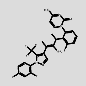 C/C(=C(/N)C(C)c1c(F)cccc1-n1ccc(N)nc1=O)c1cnn(-c2ccc(F)cc2F)c1C(F)(F)F